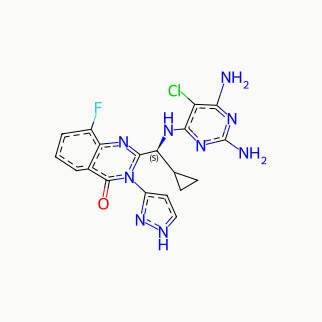 Nc1nc(N)c(Cl)c(N[C@H](c2nc3c(F)cccc3c(=O)n2-c2cc[nH]n2)C2CC2)n1